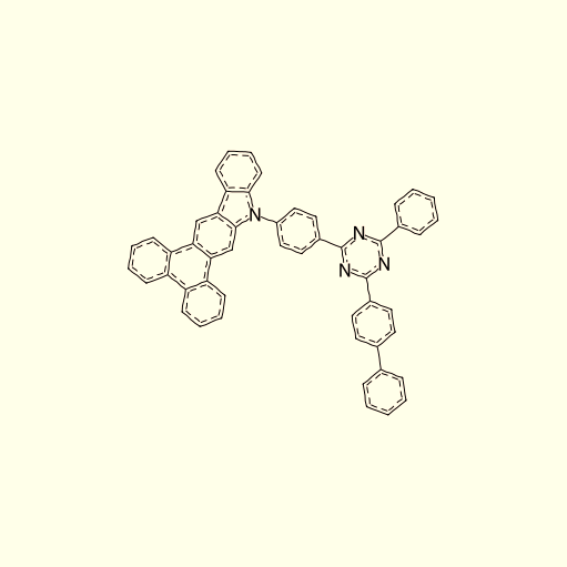 c1ccc(-c2ccc(-c3nc(-c4ccccc4)nc(-c4ccc(-n5c6ccccc6c6cc7c8ccccc8c8ccccc8c7cc65)cc4)n3)cc2)cc1